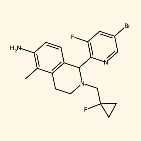 Cc1c(N)ccc2c1CCN(CC1(F)CC1)C2c1ncc(Br)cc1F